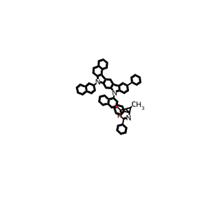 CC1C2C(c3cc(-n4c5ccc(-c6ccccc6)cc5c5cc6c7c8ccccc8ccc7n(-c7ccc8ccccc8c7)c6cc54)c4ccccc4c3)=NC(c3ccccc3)=NC12c1ccccc1